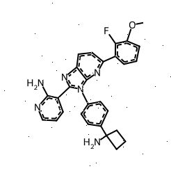 COc1cccc(-c2ccc3nc(-c4cccnc4N)n(-c4ccc(C5(N)CCC5)cc4)c3n2)c1F